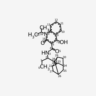 CCC(NC(=O)c1c(O)c2ccccc2n(C(C)C)c1=O)N1C2CC3CC(C2)CC1C3